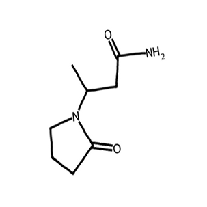 CC(CC(N)=O)N1CCCC1=O